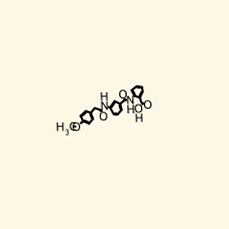 COc1ccc(CC(=O)Nc2cccc(C(=O)Nc3ccccc3C(=O)O)c2)cc1